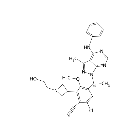 COc1c([C@@H](C)n2nc(C)c3c(Nc4ccccc4)ncnc32)cc(Cl)c(C#N)c1C1CN(CCO)C1